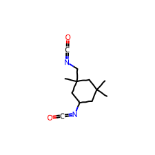 CC1(C)C[C](N=C=O)CC(C)(CN=C=O)C1